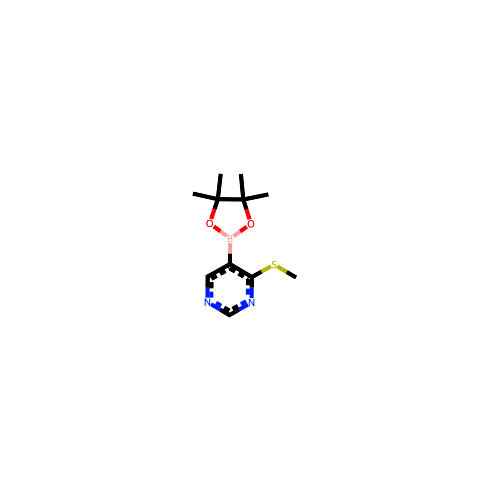 CSc1ncncc1B1OC(C)(C)C(C)(C)O1